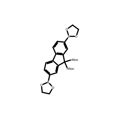 CCCCCCCCCC1(CCCCCCCCC)c2cc(B3OCCO3)ccc2-c2ccc(B3OCCO3)cc21